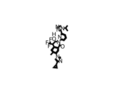 Cc1cc2c(cc1-n1cnc(C3CC3)c1)C(=O)N(c1cccc(-c3nncn3C(C)C)n1)C(O)C2C(F)(F)F